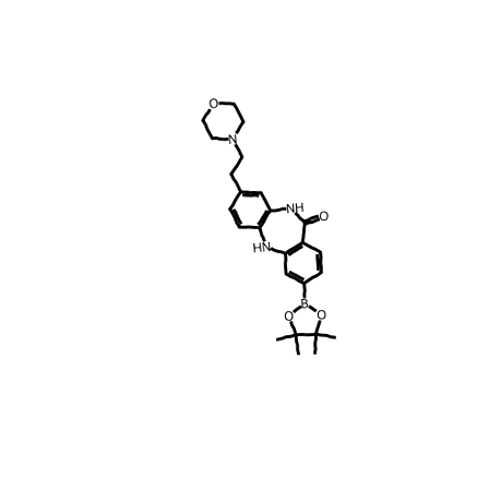 CC1(C)OB(c2ccc3c(c2)Nc2ccc(CCN4CCOCC4)cc2NC3=O)OC1(C)C